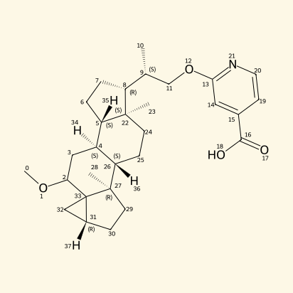 COC1C[C@H]2[C@@H]3CC[C@H]([C@H](C)COc4cc(C(=O)O)ccn4)[C@@]3(C)CC[C@@H]2[C@@]2(C)CC[C@@H]3CC132